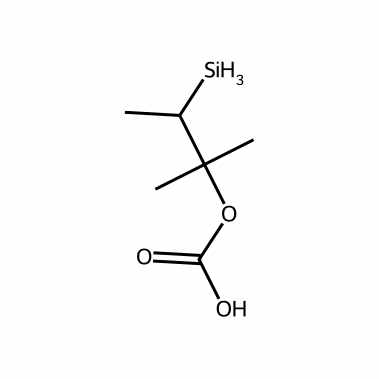 CC([SiH3])C(C)(C)OC(=O)O